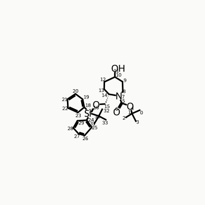 CC(C)(C)OC(=O)N1CCC(O)CC[C@H]1CO[Si](c1ccccc1)(c1ccccc1)C(C)(C)C